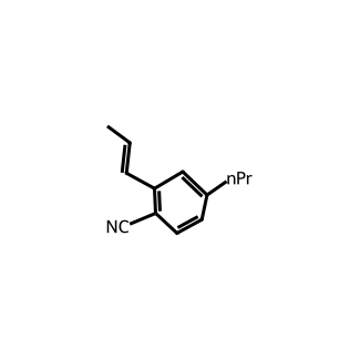 CC=Cc1cc(CCC)ccc1C#N